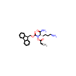 C=CC(=O)ON(C(=O)OCC1c2ccccc2-c2ccccc21)[C@@H](CCCCN)C(N)=O